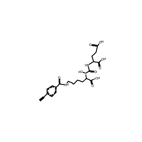 C#Cc1ccc(C(=O)NCCCCC(C(=O)O)N(O)C(=O)NC(CCC(=O)O)C(=O)O)cc1